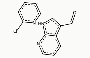 Clc1cc[c]cn1.O=Cc1c[nH]c2ncccc12